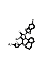 Cc1ccc(C(=O)C2=C(O)C(=O)N(c3nc4ccc(Cl)cc4s3)C2c2cccc3ccccc23)o1